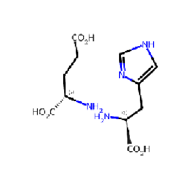 N[C@@H](CCC(=O)O)C(=O)O.N[C@@H](Cc1c[nH]cn1)C(=O)O